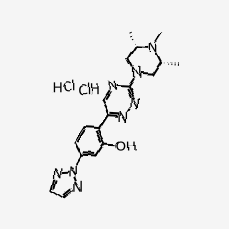 C[C@@H]1CN(c2ncc(-c3ccc(-n4nccn4)cc3O)nn2)C[C@H](C)N1C.Cl.Cl